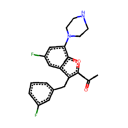 CC(=O)c1oc2c(N3CCNCC3)cc(F)cc2c1Cc1cccc(F)c1